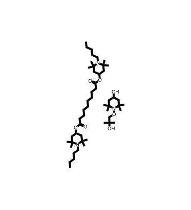 CC(C)(O)CON1C(C)(C)CC(O)CC1(C)C.CCCCCN1C(C)(C)CC(OC(=O)CCCCCCCCC(=O)OC2CC(C)(C)N(CCCCC)C(C)(C)C2)CC1(C)C